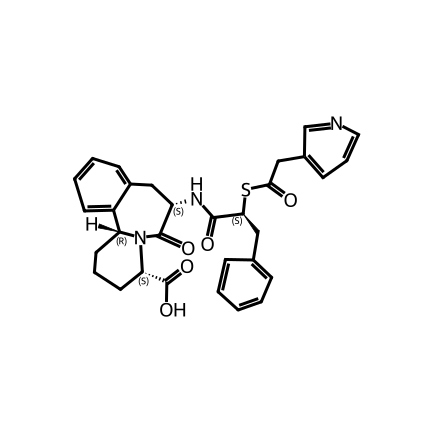 O=C(Cc1cccnc1)S[C@@H](Cc1ccccc1)C(=O)N[C@H]1Cc2ccccc2[C@H]2CCC[C@@H](C(=O)O)N2C1=O